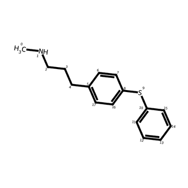 CNCCCc1ccc(Sc2ccccc2)cc1